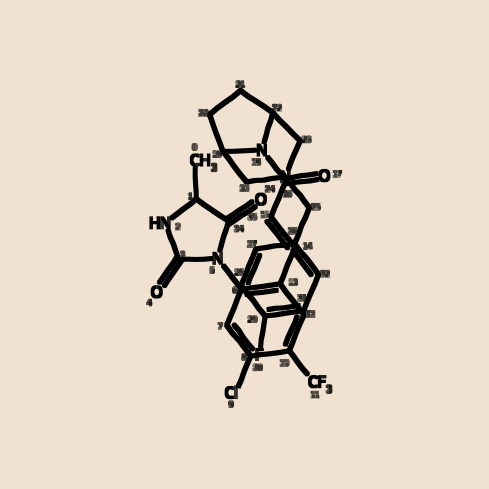 CC1NC(=O)N(c2cc(Cl)c(C(F)(F)F)cc2C=CC(=O)N2C3CCC2CN(Cc2ccc(F)cc2)C3)C1=O